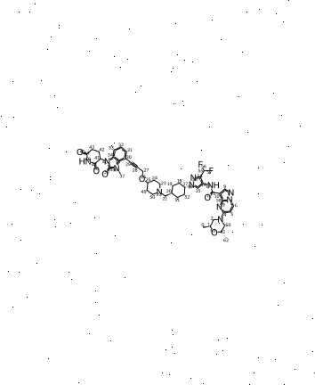 C[C@H]1CN(c2ccn3ncc(C(=O)Nc4cn([C@H]5CC[C@H](CN6CCC(OCC#Cc7cccc8c7n(C)c(=O)n8C7CCC(=O)NC7=O)CC6)CC5)nc4C(F)F)c3n2)C[C@H](C)O1